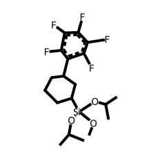 CO[Si](OC(C)C)(OC(C)C)C1CCCC(c2c(F)c(F)c(F)c(F)c2F)C1